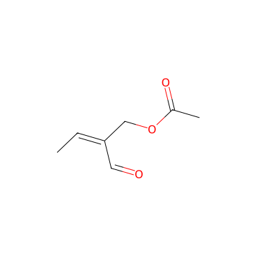 CC=C(C=O)COC(C)=O